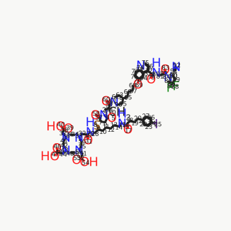 C[C@H](CN1C(=O)CC(SC(CCCCCNC(=O)CCCc2ccc(I)cc2)CNC(=O)CN2CCN(CC(=O)O)CCN(CC(=O)O)CCN(CC(=O)O)CC2)C1=O)C(=O)N1CCC(CCCCOc2ccc3nccc(C(=O)NCC(=O)N4CC(F)(F)C[C@@H]4C#N)c3c2)CC1